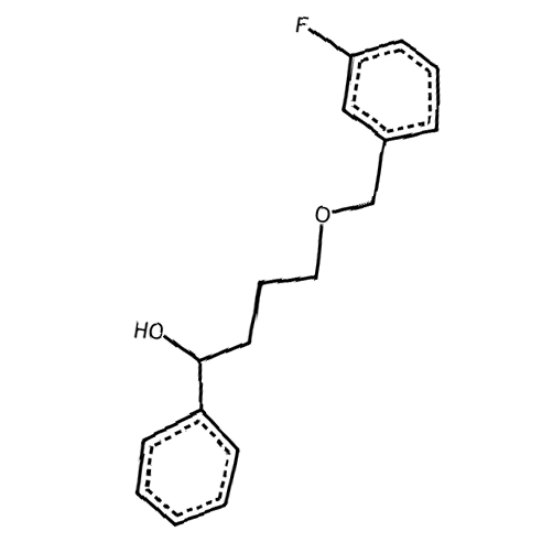 OC(CCCOCc1cccc(F)c1)c1ccccc1